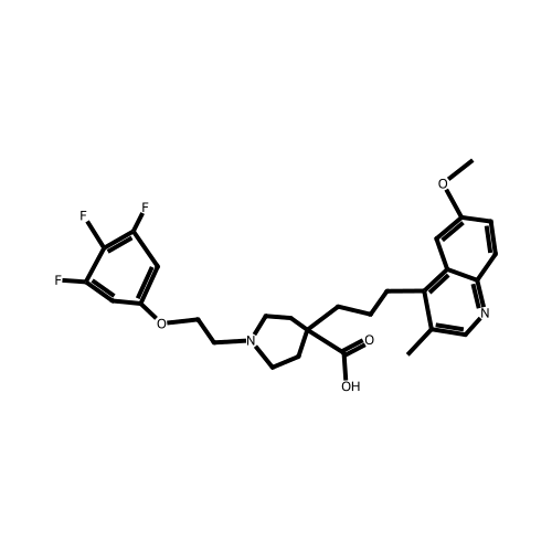 COc1ccc2ncc(C)c(CCCC3(C(=O)O)CCN(CCOc4cc(F)c(F)c(F)c4)CC3)c2c1